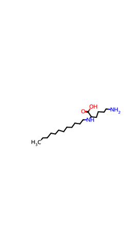 CCCCCCCCCCCCNC(CCCCN)C(=O)O